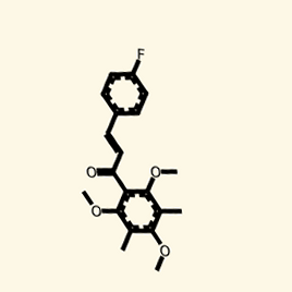 COc1c(C)c(OC)c(C(=O)C=Cc2ccc(F)cc2)c(OC)c1C